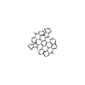 CN1c2ccccc2N(c2c(-c3ccccc3)c(-c3nc4cccnc4n3C)c(N3c4ccccc4N(C)c4ccccc43)c(-c3nc4cccnc4n3C)c2-c2ccccc2)c2ccccc21